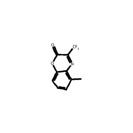 Cc1cccc2oc(=O)c(C(F)(F)F)nc12